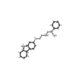 O[C@@H](CNCCOc1ccc2c(c1)[nH]c1ccccc12)c1ccccc1